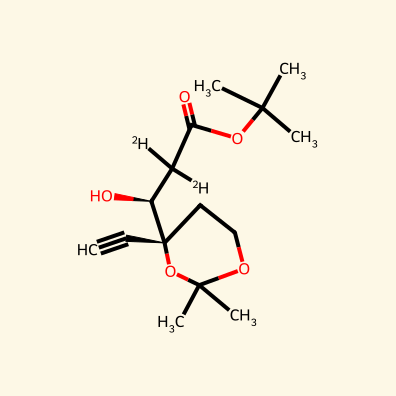 [2H]C([2H])(C(=O)OC(C)(C)C)[C@H](O)[C@]1(C#C)CCOC(C)(C)O1